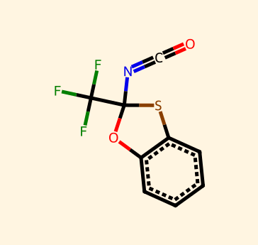 O=C=NC1(C(F)(F)F)Oc2ccccc2S1